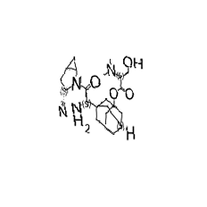 CN(C)[C@@H](CO)C(=O)OC12CC3C[C@H](C1)CC([C@H](N)C(=O)N1C4CC4C[C@H]1C#N)(C3)C2